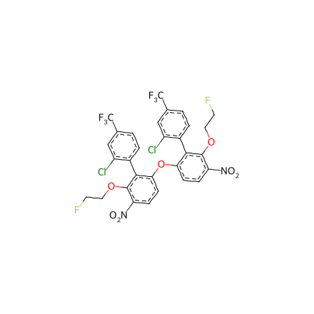 O=[N+]([O-])c1ccc(Oc2ccc([N+](=O)[O-])c(OCCF)c2-c2ccc(C(F)(F)F)cc2Cl)c(-c2ccc(C(F)(F)F)cc2Cl)c1OCCF